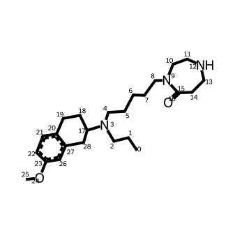 CCCN(CCCCCN1CCNCCC1=O)C1CCc2ccc(OC)cc2C1